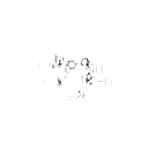 CC(C)CCc1c(Nc2nccc(-c3cc(C#N)c4c(c3)[C@@](C)(CO[Si](C)(C)C(C)(C)C)CN4C(=O)OC(C)(C)C)n2)cnn1CC1CCN(CCF)CC1